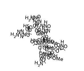 COCCO[C@H]1C(O)[C@@H](COP(=O)(S)OC2[C@@H](COP(=O)(S)OC3[C@@H](COP(=O)(O)OC4[C@@H](COP(=O)(S)OC5C[C@H](n6cnc7c(=O)[nH]c(N)nc76)O[C@@H]5COP(=O)(S)OC5C[C@H](n6cnc7c(N)ncnc76)O[C@@H]5C)O[C@@H](n5cnc6c(=O)[nH]c(N)nc65)[C@H]4OCCOC)O[C@@H](n4cc(C)c(=O)[nH]c4=O)[C@H]3OCCOC)O[C@@H](n3cc(C)c(N)nc3=O)[C@H]2OCCOC)O[C@H]1n1cc(C)c(=O)[nH]c1=O